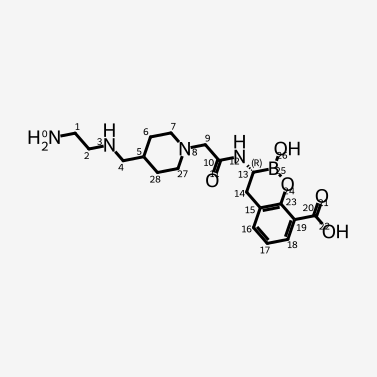 NCCNCC1CCN(CC(=O)N[C@H]2Cc3cccc(C(=O)O)c3OB2O)CC1